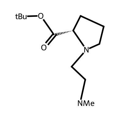 CNCCN1CCC[C@H]1C(=O)OC(C)(C)C